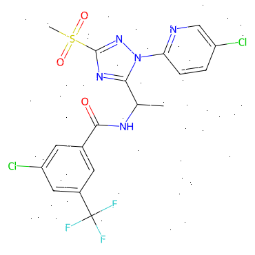 CC(NC(=O)c1cc(Cl)cc(C(F)(F)F)c1)c1nc(S(C)(=O)=O)nn1-c1ccc(Cl)cn1